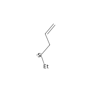 C=CC[Si]CC